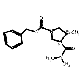 C[C@H]1CN(C(=O)OCc2ccccc2)C[C@@H]1C(=O)N(C)C